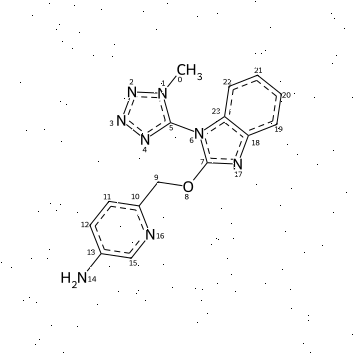 Cn1nnnc1-n1c(OCc2ccc(N)cn2)nc2ccccc21